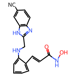 N#Cc1ccc2nc(CNc3ccccc3/C=C/C(=O)NO)[nH]c2c1